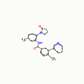 Cc1ccc(C(=O)Nc2cc(C(F)(F)F)ccc2N2CCCC2=O)cc1-c1cccnc1